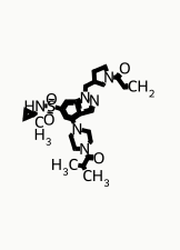 C=CC(=O)N1CCC(Cn2ncc3c(N4CCN(C(=O)C(C)C)CC4)cc(S(=O)(=O)NC4(C)CC4)cc32)C1